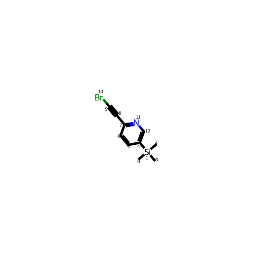 C[Si](C)(C)c1ccc(C#CBr)nc1